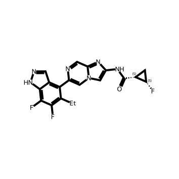 CCc1c(F)c(F)c2[nH]ncc2c1-c1cn2cc(NC(=O)[C@@H]3C[C@@H]3F)nc2cn1